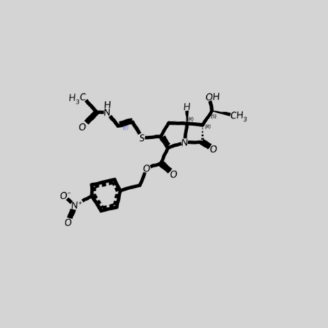 CC(=O)N/C=C/SC1=C(C(=O)OCc2ccc([N+](=O)[O-])cc2)N2C(=O)[C@@H]([C@H](C)O)[C@H]2C1